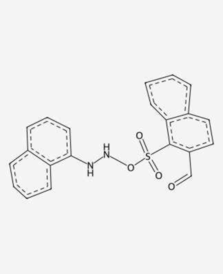 O=Cc1ccc2ccccc2c1S(=O)(=O)ONNc1cccc2ccccc12